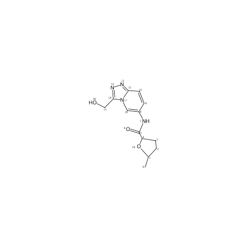 CC1CCC(C(=O)Nc2ccc3nnc(CO)n3c2)O1